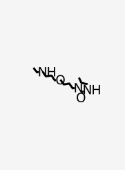 CCNCCCOCCCN1C(=O)NCC1C